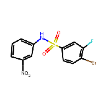 O=[N+]([O-])c1cccc(NS(=O)(=O)c2ccc(Br)c(F)c2)c1